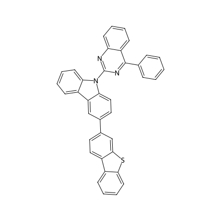 c1ccc(-c2nc(-n3c4ccccc4c4cc(-c5ccc6c(c5)sc5ccccc56)ccc43)nc3ccccc23)cc1